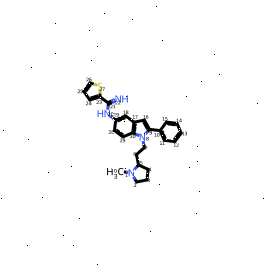 CN1CCCC1CCn1c(-c2ccccc2)cc2cc(NC(=N)c3cccs3)ccc21